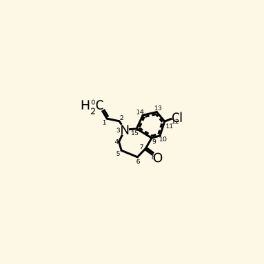 C=CCN1CCCC(=O)c2cc(Cl)ccc21